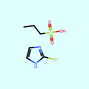 CCCS(=O)(=O)O.Sc1ncc[nH]1